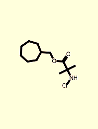 CC(C)(NCl)C(=O)OCC1CCCCCC1